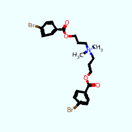 C[N+](C)(CCCOC(=O)c1ccc(Br)cc1)CCCOC(=O)c1ccc(Br)cc1